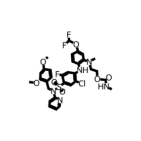 CNC(=O)OCCN(C)c1cc(OC(F)F)ccc1Nc1cc(F)c(S(=O)(=O)N(Cc2ccc(OC)cc2OC)c2ccccn2)cc1Cl